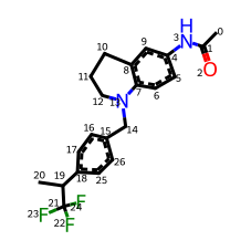 CC(=O)Nc1ccc2c(c1)CCCN2Cc1ccc(C(C)C(F)(F)F)cc1